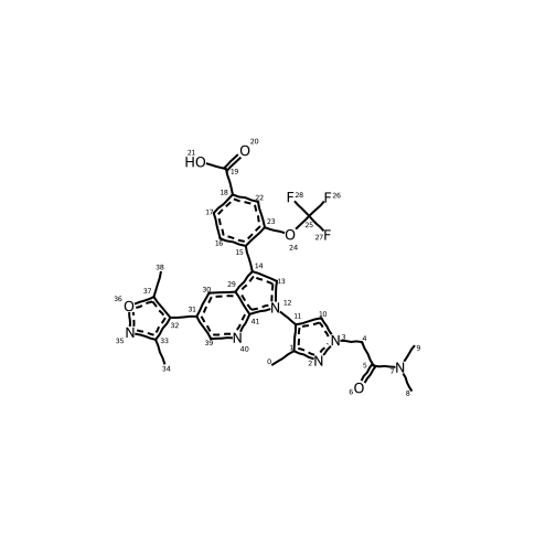 Cc1nn(CC(=O)N(C)C)cc1-n1cc(-c2ccc(C(=O)O)cc2OC(F)(F)F)c2cc(-c3c(C)noc3C)cnc21